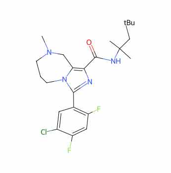 CN1CCCn2c(-c3cc(Cl)c(F)cc3F)nc(C(=O)NC(C)(C)CC(C)(C)C)c2C1